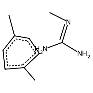 CN=C(N)N.Cc1ccc(C)cc1